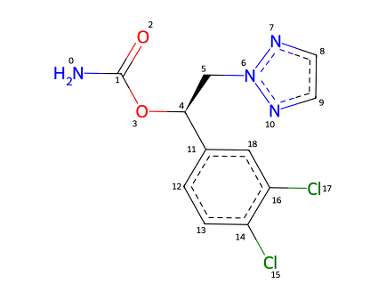 NC(=O)O[C@@H](Cn1nccn1)c1ccc(Cl)c(Cl)c1